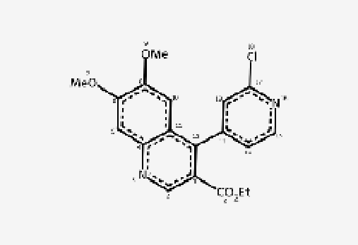 CCOC(=O)c1cnc2cc(OC)c(OC)cc2c1-c1ccnc(Cl)c1